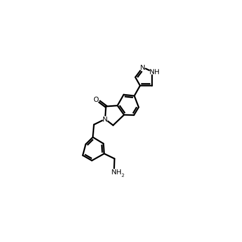 NCc1cccc(CN2Cc3ccc(-c4cn[nH]c4)cc3C2=O)c1